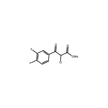 COC(=O)C(Cl)C(=O)c1ccc(F)c(F)c1